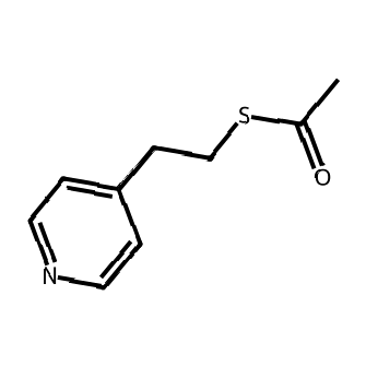 CC(=O)SCCc1ccncc1